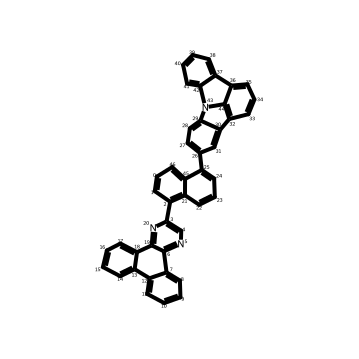 c1cc(-c2cnc3c4ccccc4c4ccccc4c3n2)c2cccc(-c3ccc4c(c3)c3cccc5c6ccccc6n4c53)c2c1